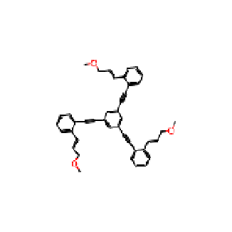 COCC=Cc1ccccc1C#Cc1cc(C#Cc2ccccc2C=CCOC)cc(C#Cc2ccccc2C=CCOC)c1